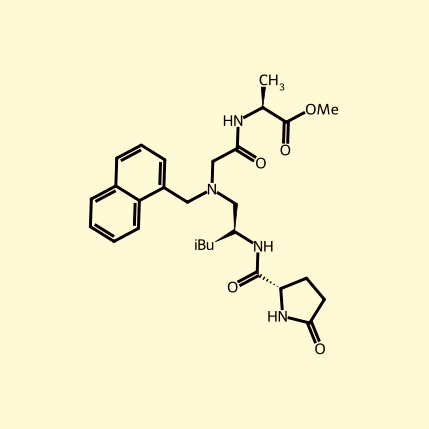 CC[C@H](C)[C@@H](CN(CC(=O)N[C@@H](C)C(=O)OC)Cc1cccc2ccccc12)NC(=O)[C@@H]1CCC(=O)N1